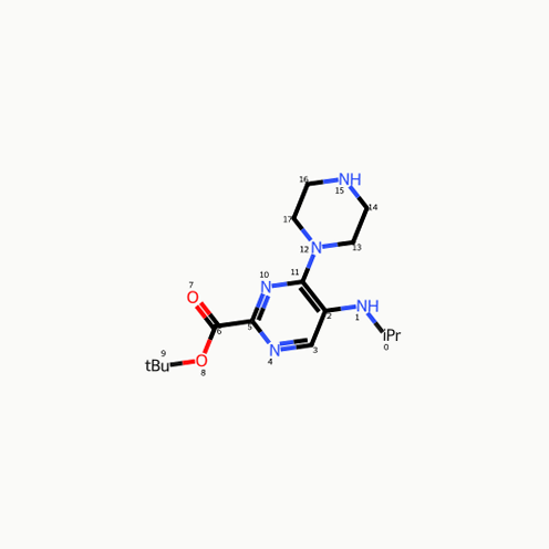 CC(C)Nc1cnc(C(=O)OC(C)(C)C)nc1N1CCNCC1